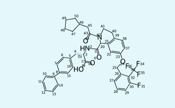 O=C(N[C@@H](Cc1ccc(-c2ccccc2)cc1)C(=O)O)C1c2cc(OCc3cccc(F)c3C(F)(F)F)ccc2CCN1C(=O)CC1CCCC1